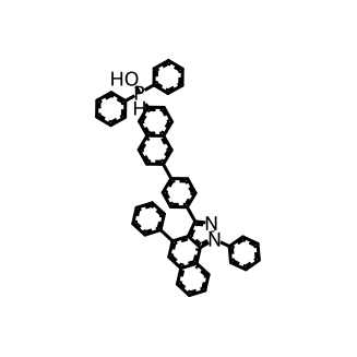 O[PH](c1ccccc1)(c1ccccc1)c1ccc2cc(-c3ccc(-c4nn(-c5ccccc5)c5c4c(-c4ccccc4)cc4ccccc45)cc3)ccc2c1